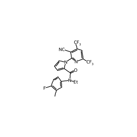 CCN(C(=O)c1cccn1-c1nc(C(F)(F)F)cc(C(F)(F)F)c1C#N)c1ccc(F)c(C)c1